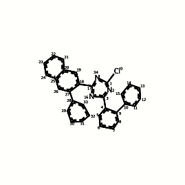 Clc1nc(-c2ccccc2-c2ccccc2)nc(-c2cc3ccccc3cc2-c2ccccc2)n1